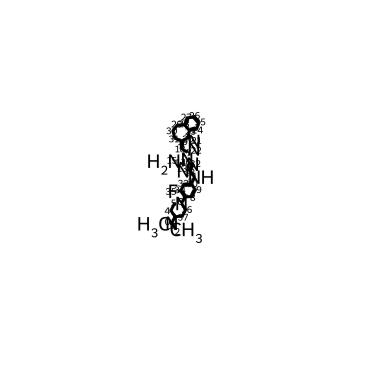 CN(C)C1CCN(c2ccc(Nc3nc(N)n(-c4cc5c(nn4)-c4ccccc4CCC5)n3)cc2F)CC1